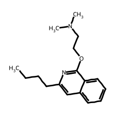 CCCCc1cc2ccccc2c(OCCN(C)C)n1